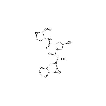 COC1NCC[C@H]1NC(=O)[C@@H]1C[C@@H](O)CN1C(=O)[C@H](C)N1Cc2ccccc2C2OC21